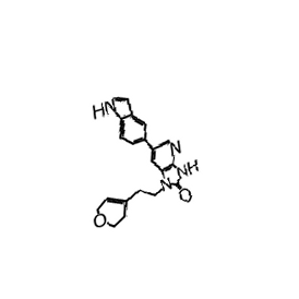 O=c1[nH]c2ncc(-c3ccc4[nH]ccc4c3)cc2n1CCC1=CCOCC1